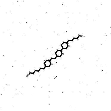 FCCCCCCC1CCC(CCC2CCC(C3CCC(CCCCCF)CC3)CC2)CC1